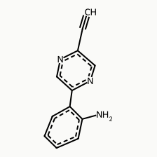 C#Cc1cnc(-c2ccccc2N)cn1